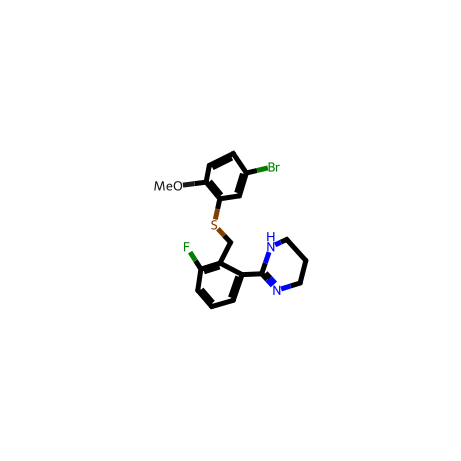 COc1ccc(Br)cc1SCc1c(F)cccc1C1=NCCCN1